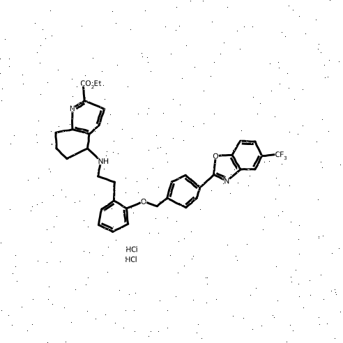 CCOC(=O)c1ccc2c(n1)CCCC2NCCc1ccccc1OCc1ccc(-c2nc3cc(C(F)(F)F)ccc3o2)cc1.Cl.Cl